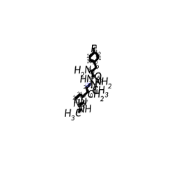 C=C(/C=C(/NC(=O)[C@@H](N)Cc1ccc(F)cc1)N(C)N)c1ccnc(NC)n1